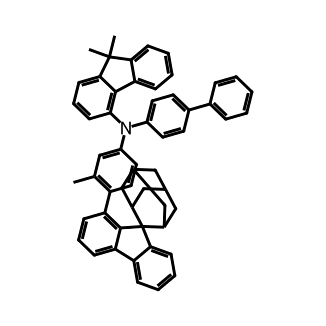 Cc1cc(N(c2ccc(-c3ccccc3)cc2)c2cccc3c2-c2ccccc2C3(C)C)ccc1-c1cccc2c1C1(c3ccccc3-2)C2CC3CC(C2)CC1C3